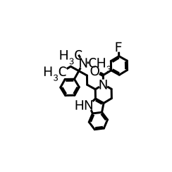 CCC(CCC1c2[nH]c3ccccc3c2CCN1C(=O)c1cccc(F)c1)(c1ccccc1)N(C)C